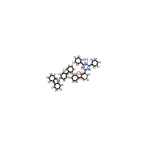 C1=c2c(oc3c(-c4cccc5sc6cc(-n7c8ccccc8c8ccccc87)ccc6c45)cccc23)=C(C2=NC(c3ccccc3)NC(c3ccccc3)=N2)CC1